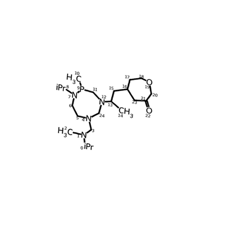 CC(C)N(C)CN1CCN(C(C)C)P(C)CN(C(C)CC2CCOCC(=O)C2)C1